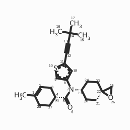 CC1=CC[C@H](C(=O)N(c2csc(C#CC(C)(C)C)c2)[C@H]2CC[C@]3(CC2)CO3)CC1